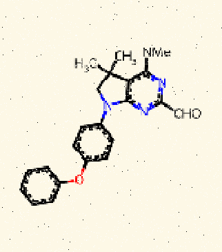 CNc1nc(C=O)nc2c1C(C)(C)CN2c1ccc(Oc2ccccc2)cc1